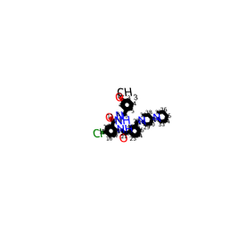 COc1cccc(C=NNC(=O)c2cc(Cl)ccc2NC(=O)c2cccc(CN3CCC(N4CCCCC4)CC3)c2)c1